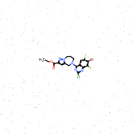 CCOC(=O)c1cc2n(n1)CCCN(c1nc(Cl)nc3c(F)c(Br)c(F)cc13)C2